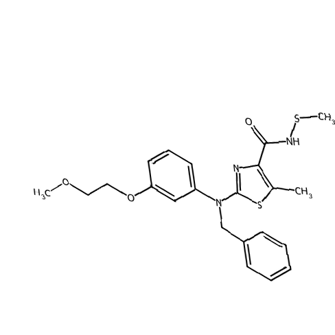 COCCOc1cccc(N(Cc2ccccc2)c2nc(C(=O)NSC)c(C)s2)c1